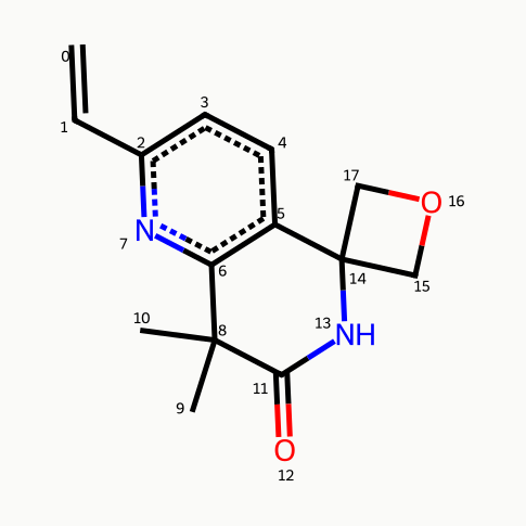 C=Cc1ccc2c(n1)C(C)(C)C(=O)NC21COC1